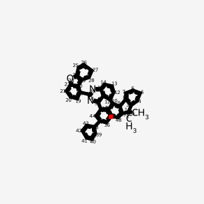 CC1(C)c2ccccc2-c2c(-c3cccc4nc(-c5cccc6oc7ccccc7c56)nc(-c5cccc(-c6ccccc6)c5)c34)cccc21